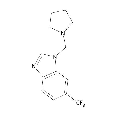 FC(F)(F)c1ccc2ncn(CN3CCCC3)c2c1